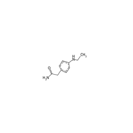 CCNc1ccc(CC(N)=O)cc1